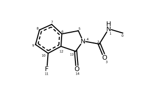 CNC(=O)N1Cc2cccc(F)c2C1=O